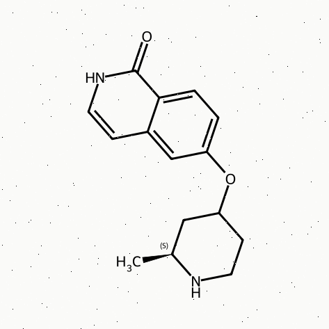 C[C@H]1CC(Oc2ccc3c(=O)[nH]ccc3c2)CCN1